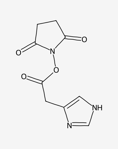 O=C(Cc1c[nH]cn1)ON1C(=O)CCC1=O